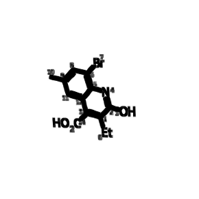 CCc1c(O)nc2c(Br)cc(C)cc2c1C(=O)O